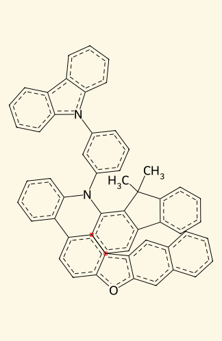 CC1(C)c2ccccc2-c2cccc(N(c3cccc(-n4c5ccccc5c5ccccc54)c3)c3ccccc3-c3ccc4oc5cc6ccccc6cc5c4c3)c21